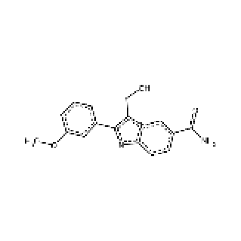 COc1cccc(-c2nc3ccc(C(N)=O)cn3c2CO)c1